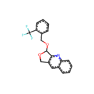 FC(F)(F)c1ccccc1COC1OCc2cc3ccccc3nc21